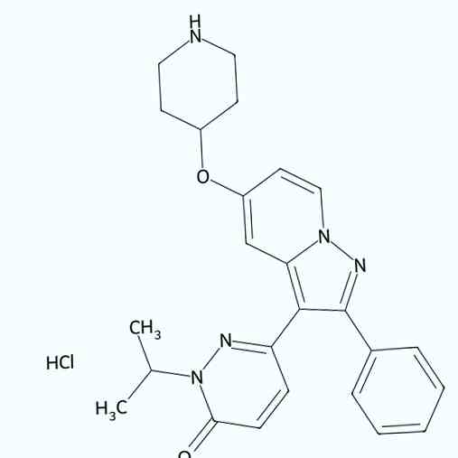 CC(C)n1nc(-c2c(-c3ccccc3)nn3ccc(OC4CCNCC4)cc23)ccc1=O.Cl